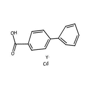 O=C(O)c1ccc(-c2ccccc2)cc1.[Cd].[Y]